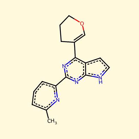 Cc1cccc(-c2nc(C3=COCCC3)c3cc[nH]c3n2)n1